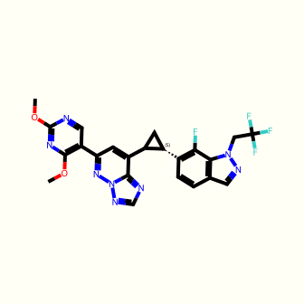 COc1ncc(-c2cc(C3C[C@@H]3c3ccc4cnn(CC(F)(F)F)c4c3F)c3ncnn3n2)c(OC)n1